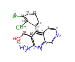 Nc1nc2cnccc2c(-c2cccc(Br)c2Cl)c1CO